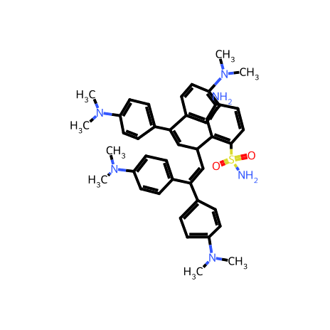 CN(C)c1ccc(C(=CC(C=C(c2ccc(N(C)C)cc2)c2ccc(N(C)C)cc2)c2cc(N)ccc2S(N)(=O)=O)c2ccc(N(C)C)cc2)cc1